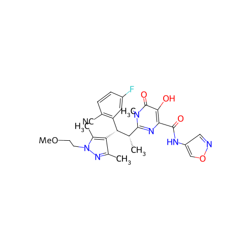 COCCn1nc(C)c([C@H](c2cc(F)ccc2C#N)[C@@H](C)c2nc(C(=O)Nc3cnoc3)c(O)c(=O)n2C)c1C